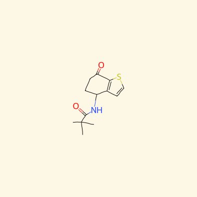 CC(C)(C)C(=O)NC1CCC(=O)c2sccc21